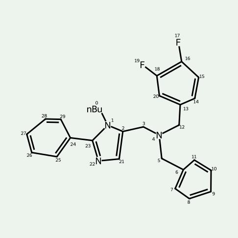 CCCCn1c(CN(Cc2ccccc2)Cc2ccc(F)c(F)c2)cnc1-c1ccccc1